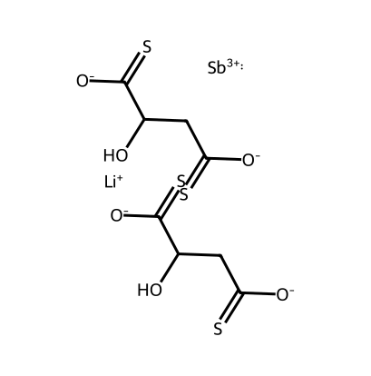 [Li+].[O-]C(=S)CC(O)C([O-])=S.[O-]C(=S)CC(O)C([O-])=S.[Sb+3]